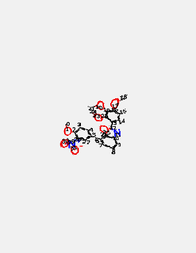 COc1ccc(-c2cccc3nc(-c4[c]cc(OC)c(OC)c4OC)oc23)cc1[N+](=O)[O-]